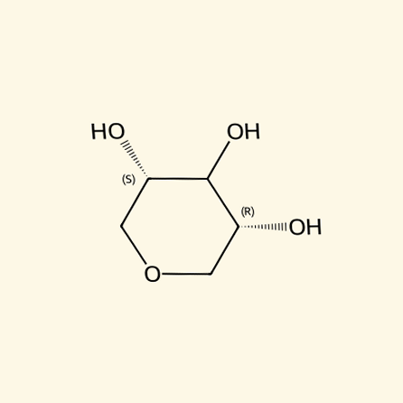 OC1[C@H](O)COC[C@@H]1O